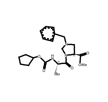 COC(=O)[C@@H]1CN(Cc2ccccc2)CN1C(=O)[C@@H](NC(=O)OC1CCCC1)C(C)(C)C